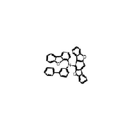 c1ccc(-c2cccc(N(c3cccc4c3oc3ccccc34)c3c4oc5ccccc5c4cc4oc5ccccc5c34)c2)cc1